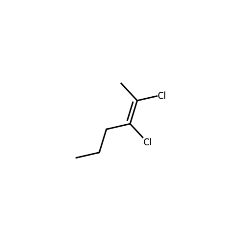 CCC/C(Cl)=C(\C)Cl